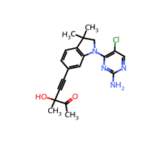 CC(=O)C(C)(O)C#Cc1ccc2c(c1)N(c1nc(N)ncc1Cl)CC2(C)C